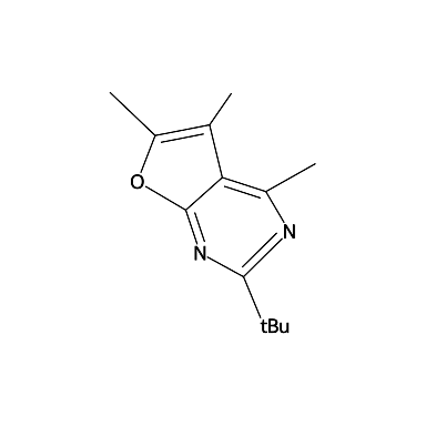 Cc1oc2nc(C(C)(C)C)nc(C)c2c1C